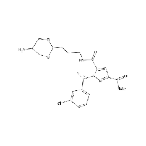 CNC(=O)c1cc(C(=O)NCCCC2OCC(N)CO2)n([C@@H](C)c2cccc(Cl)c2)n1